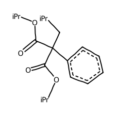 CC(C)CC(C(=O)OC(C)C)(C(=O)OC(C)C)c1ccccc1